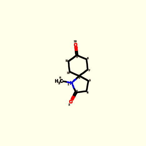 CN1C(=O)CCC12CCC(=O)CC2